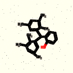 Cc1cc(C)c(C)c(C(c2ccccc2O)c2cc(C)cc(C)c2C)c1